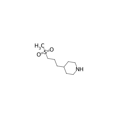 CS(=O)(=O)CCCC1CCNCC1